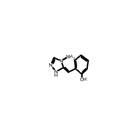 NN1C=NNC1=Cc1ccccc1O